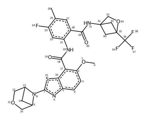 COc1ccc2nc(N3C4COCC3C4)sc2c1C(=O)Nc1cc(F)c(C)cc1C(=O)NC12COC(C(F)(F)F)(C1)C2